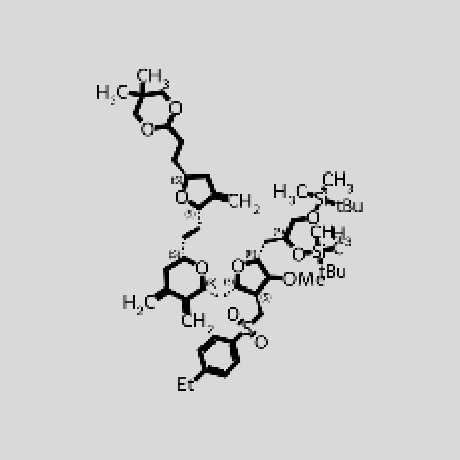 C=C1C[C@H](CC[C@@H]2O[C@@H](CCC3OCC(C)(C)CO3)CC2=C)O[C@H](C[C@@H]2O[C@H](C[C@@H](CO[Si](C)(C)C(C)(C)C)O[Si](C)(C)C(C)(C)C)C(OC)[C@H]2CS(=O)(=O)c2ccc(CC)cc2)C1=C